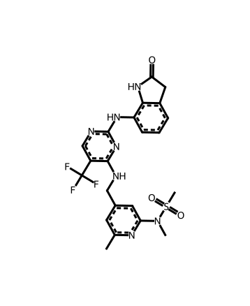 Cc1cc(CNc2nc(Nc3cccc4c3NC(=O)C4)ncc2C(F)(F)F)cc(N(C)S(C)(=O)=O)n1